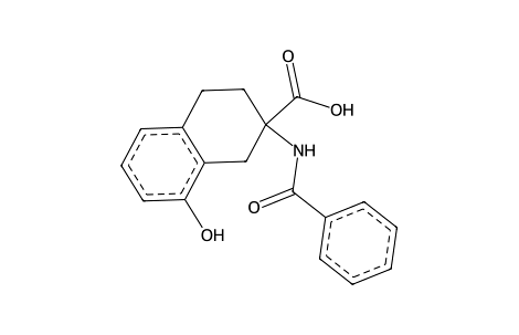 O=C(NC1(C(=O)O)CCc2cccc(O)c2C1)c1ccccc1